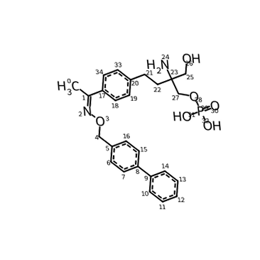 CC(=NOCc1ccc(-c2ccccc2)cc1)c1ccc(CCC(N)(CO)COP(=O)(O)O)cc1